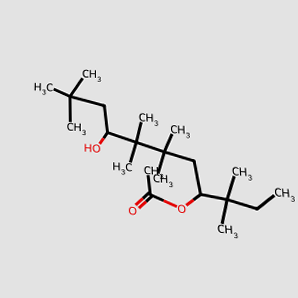 CCC(C)(C)C(CC(C)(C)C(C)(C)C(O)CC(C)(C)C)OC(C)=O